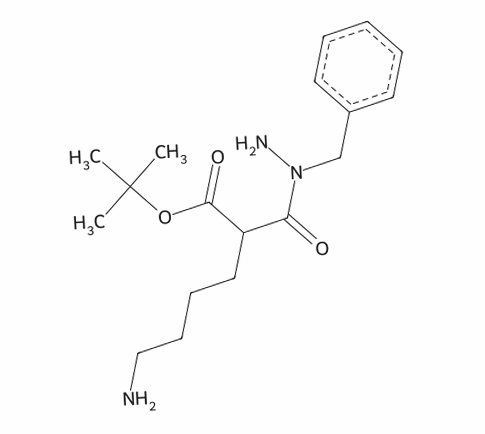 CC(C)(C)OC(=O)C(CCCCN)C(=O)N(N)Cc1ccccc1